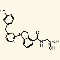 C[C@@H](O)CNC(=O)c1cccc2c1CCN2c1cc(Cc2cccc(C(F)(F)F)c2)ccn1